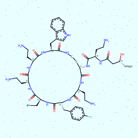 CCCCCCC[C@@H](O)CC(=O)N[C@H](CCN)C(=O)N[C@H]1CCNC(=O)[C@H](Cc2c[nH]c3ccccc23)NC(=O)[C@H](CCN)NC(=O)[C@H](CCN)NC(=O)[C@H](CC(C)C)NC(=O)[C@@H](Cc2ccc(F)cc2)NC(=O)[C@H](CCN)NC1=O